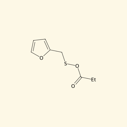 CCC(=O)OSCc1ccco1